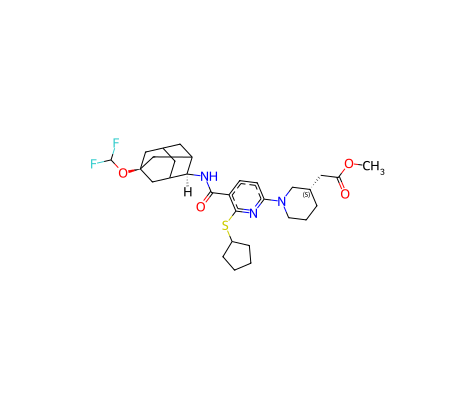 COC(=O)C[C@@H]1CCCN(c2ccc(C(=O)N[C@H]3C4CC5CC3C[C@@](OC(F)F)(C5)C4)c(SC3CCCC3)n2)C1